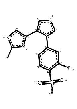 Cc1nc(-c2cscc2-c2ccc(S(C)(=O)=O)c(F)c2)cs1